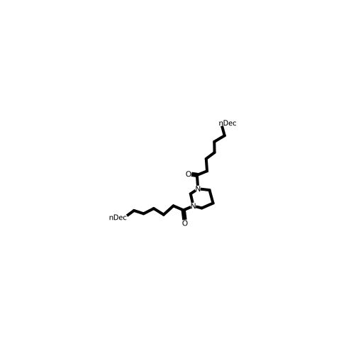 CCCCCCCCCCCCCCCC(=O)N1CCCN(C(=O)CCCCCCCCCCCCCCC)C1